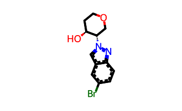 O[C@H]1CCOC[C@@H]1n1cc2cc(Br)ccc2n1